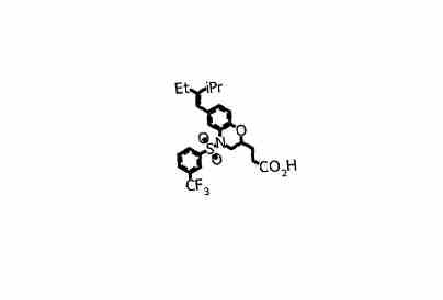 CCC(=Cc1ccc2c(c1)N(S(=O)(=O)c1cccc(C(F)(F)F)c1)CC(CCC(=O)O)O2)C(C)C